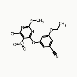 CCOc1cc(C#N)cc(Oc2nc(SC)nc(Cl)c2[N+](=O)[O-])c1